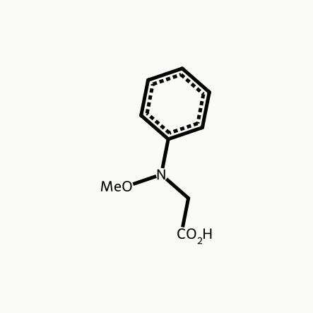 CON(CC(=O)O)c1ccccc1